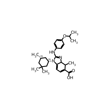 CC(C)Oc1ccc(NC2=NC3C(=CC=C(C(=O)O)C3C)N2[C@H]2C[C@@H](C)CC(C)(C)C2)cc1